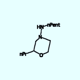 CCCCCNN1CCOC(CCC)C1